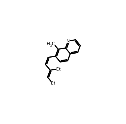 CC/C=C(/C=C\c1ccc2cccnc2c1C)CC